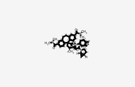 C[C@@H](CC1(c2nn(-c3ccc(F)cc3)c(=O)[nH]2)c2ccc(C(=O)N(C)C)cc2CCc2cc(C(=O)N(C)C)ccc21)NCC(=O)N1[C@H](C#N)C[C@@H]2C[C@@H]21